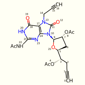 C#CC[C@H](OC(C)=O)[C@@H]1C[C@@H](OC(C)=O)[C@H](n2c(=O)n(CC#C)c3c(=O)[nH]c(NC(C)=O)nc32)O1